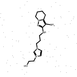 Nc1c(NCCCn2cc[n+](CCO)c2)nn2c1CCCC2